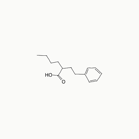 CCCCC(CCc1ccccc1)C(=O)O